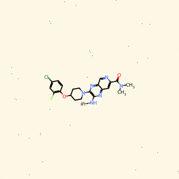 CC(C)Nc1nc2cc(C(=O)N(C)C)ncc2nc1N1CCC(Oc2ccc(Cl)cc2F)CC1